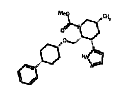 COC(=O)N1C[C@H](C)C[C@H](c2ccn[nH]2)[C@@H]1CO[C@H]1CC[C@@H](c2ccccc2)CC1